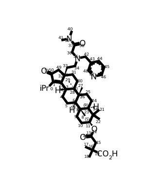 CC(C)C1=C2[C@H]3CC[C@@H]4[C@@]5(C)CC[C@H](OC(=O)CC(C)(C)C(=O)O)C(C)(C)[C@@H]5CC[C@@]4(C)[C@]3(C)CC[C@@]2(CCN(CC(=O)N(C)C)Cc2cccnc2)CC1=O